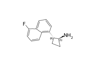 N[C@H]1CC[C@@H]1c1cccc2c(F)cccc12